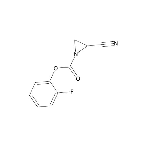 N#CC1CN1C(=O)Oc1ccccc1F